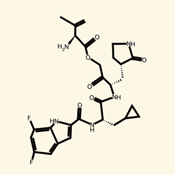 C=C(C)[C@H](N)C(=O)OCC(=O)[C@H](C[C@@H]1CCNC1=O)NC(=O)[C@H](CC1CC1)NC(=O)c1cc2cc(F)cc(F)c2[nH]1